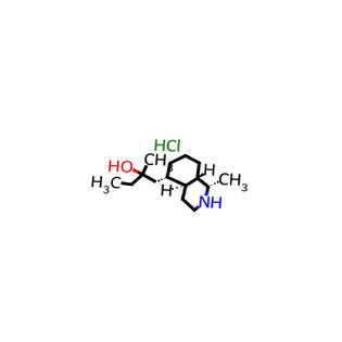 CCC(C)(O)C[C@@H]1CCC[C@H]2[C@H]1CCN[C@H]2C.Cl